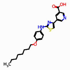 CCCCCCCCOc1ccc(Nc2nc(-c3cncc(C(=O)O)c3)cs2)cc1